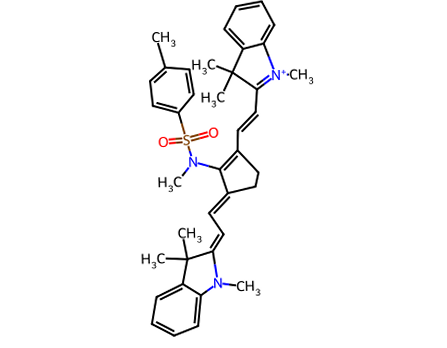 Cc1ccc(S(=O)(=O)N(C)C2=C(/C=C/C3=[N+](C)c4ccccc4C3(C)C)CC/C2=C\C=C2\N(C)c3ccccc3C2(C)C)cc1